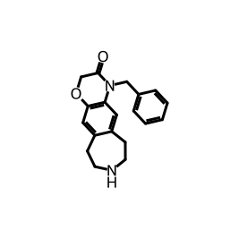 O=C1COc2cc3c(cc2N1Cc1ccccc1)CCNCC3